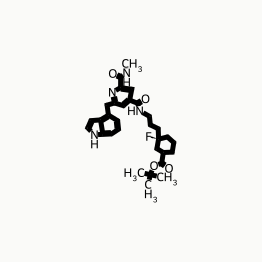 CNC(=O)c1cc(C(=O)NCCC[C@@]2(F)CCCC(C(=O)OC(C)(C)C)C2)cc(Cc2cccc3[nH]ccc23)n1